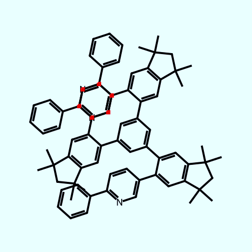 CC1(C)CC(C)(C)c2cc(-c3cc(-c4cc5c(cc4-c4ccc(-c6ccccc6)nc4)C(C)(C)CC5(C)C)cc(-c4cc5c(cc4-c4ccc(-c6ccccc6)nc4)C(C)(C)CC5(C)C)c3)c(-c3ccc(-c4ccccc4)nc3)cc21